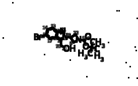 CC(C)(C)OC(=O)N1CC(n2nc3ccc(Br)cc3c2CO)C1